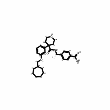 C[C@H](NC(=O)C1(c2cccc(OCC3CCCCCC3)c2)CCOCC1)c1ccc(C(=O)O)cc1